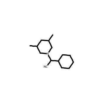 CC1CC(C)CN(C(C#N)C2CCCCC2)C1